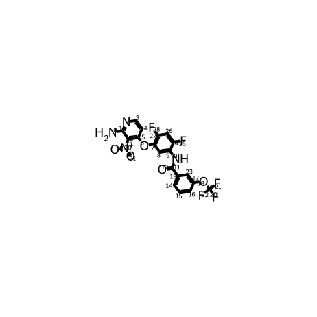 Nc1nccc(Oc2cc(NC(=O)c3cccc(OC(F)(F)F)c3)c(F)cc2F)c1[N+](=O)[O-]